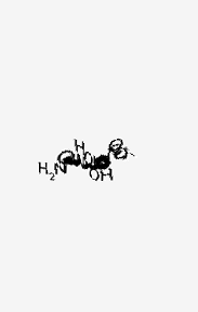 NC(=O)CNCC(O)C(O)c1ccc([N+](=O)[O-])cc1